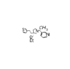 CCOC[C@]1(CCc2ccsc2)CCN(C(C)c2cccnc2)C1